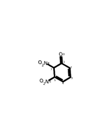 O=C1C=CC=C([N+](=O)[O-])C1[N+](=O)[O-]